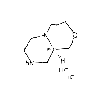 C1CN2CCOC[C@H]2CN1.Cl.Cl